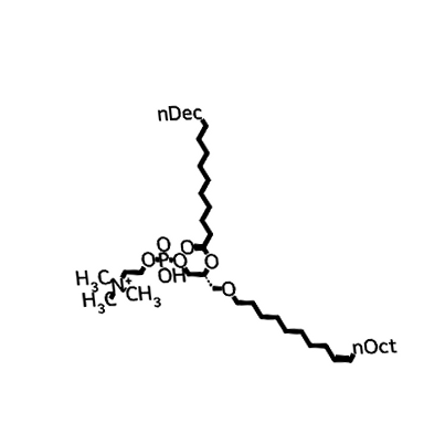 CCCCCCCC/C=C\CCCCCCCCOC[C@H](COP(=O)(O)OCC[N+](C)(C)C)OC(=O)CCCCCCCCCCCCCCCCCCC